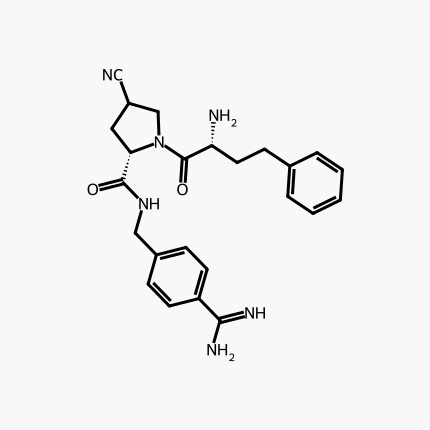 N#CC1C[C@@H](C(=O)NCc2ccc(C(=N)N)cc2)N(C(=O)[C@H](N)CCc2ccccc2)C1